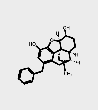 CN1CC[C@]23c4c5c(Cc6ccccc6)cc(O)c4O[C@H]2[C@@H](O)CC[C@H]3[C@H]1C5